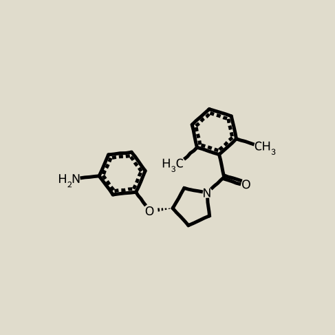 Cc1cccc(C)c1C(=O)N1CC[C@H](Oc2cccc(N)c2)C1